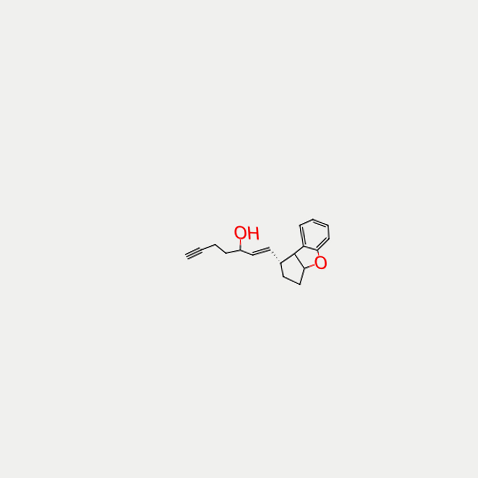 C#CCCC(O)/C=C/[C@H]1CCC2Oc3ccccc3C21